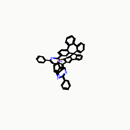 c1ccc(-c2cc(-c3cnc(-c4ccccc4)nc3)nc(-c3ccc4c(c3)C3(c5ccccc5-c5ccccc5-4)c4ccccc4-c4cc5c(cc43)sc3ccccc35)n2)cc1